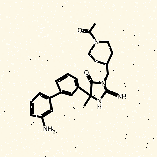 CC(=O)N1CCC(CN2C(=N)NC(C)(c3cccc(-c4cccc(N)c4)c3)C2=O)CC1